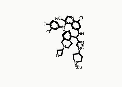 CC(C)(C)N1CCC(n2cc(C(Nc3cc(Cl)c4ncc(C#N)c(Nc5ccc(F)c(Cl)c5)c4c3)c3cccc4c3CCN(C3COC3)C4)nn2)CC1